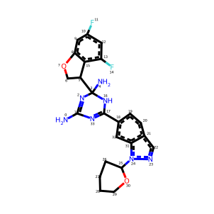 NC1=NC(N)(C2COc3cc(F)cc(F)c32)NC(c2ccc3cnn(C4CCCCO4)c3c2)=N1